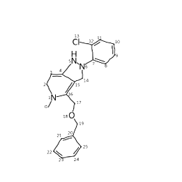 CN1CC=C2NN(c3ccccc3Cl)CC2=C1COCc1ccccc1